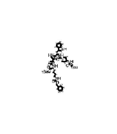 CC(C)(C)OC(=O)NC1CCN(C(=O)N[C@H](Cc2c[nH]c3ccccc23)c2nc(C(C)(C)C(=O)N[C@H](CCCCNC(=O)OCc3ccccc3)C(=O)OC(C)(C)C)c[nH]2)CC1